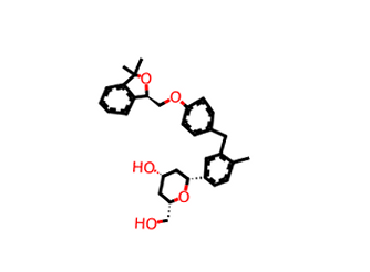 Cc1ccc([C@H]2C[C@@H](O)C[C@@H](CO)O2)cc1Cc1ccc(OC[C@@H]2OC(C)(C)c3ccccc32)cc1